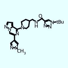 Cn1cc(-c2cn3nccc3c(N3CCC(CNC(=O)c4cn(C(C)(C)C)nn4)CC3)n2)cn1